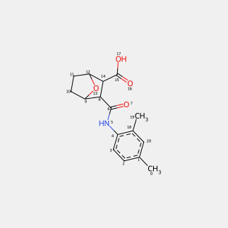 Cc1ccc(NC(=O)C2C3CCC(O3)C2C(=O)O)c(C)c1